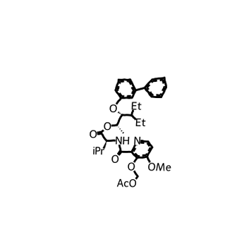 CCC(CC)[C@@H](Oc1cccc(-c2ccccc2)c1)[C@H](C)OC(=O)[C@@H](NC(=O)c1nccc(OC)c1OCOC(C)=O)C(C)C